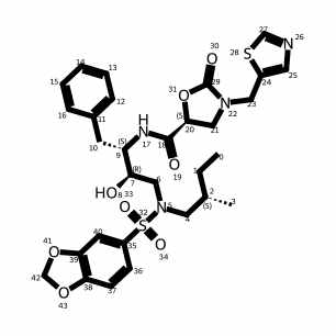 CC[C@H](C)CN(C[C@@H](O)[C@H](Cc1ccccc1)NC(=O)[C@@H]1CN(Cc2cncs2)C(=O)O1)S(=O)(=O)c1ccc2c(c1)OCO2